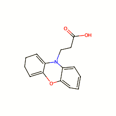 O=C(O)CCN1C2=CCCC=C2Oc2ccccc21